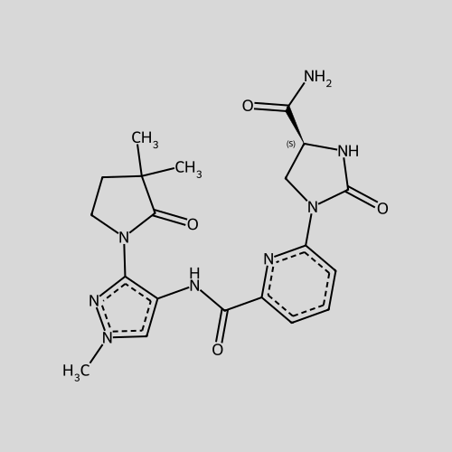 Cn1cc(NC(=O)c2cccc(N3C[C@@H](C(N)=O)NC3=O)n2)c(N2CCC(C)(C)C2=O)n1